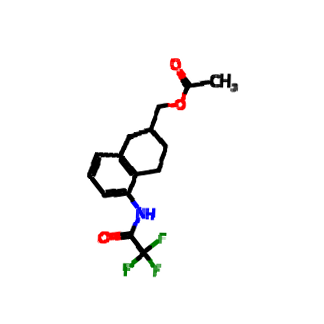 CC(=O)OCC1CCc2c(cccc2NC(=O)C(F)(F)F)C1